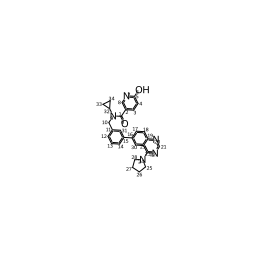 O=C(c1ccc(O)nc1)N(Cc1cccc(-c2ccc3ncnc(N4CCCC4)c3c2)c1)C1CC1